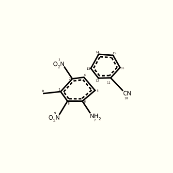 Cc1c([N+](=O)[O-])ccc(N)c1[N+](=O)[O-].N#Cc1ccccc1